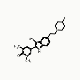 Cc1cc(-c2[nH]c3ccc(CCN4CCC(F)CC4)cc3c2C(C)C)cn(C)c1=O